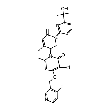 CC1=CN[C@@H](c2cccc(C(C)(C)O)n2)C[C@H]1n1c(C)cc(OCc2cnccc2F)c(Cl)c1=O